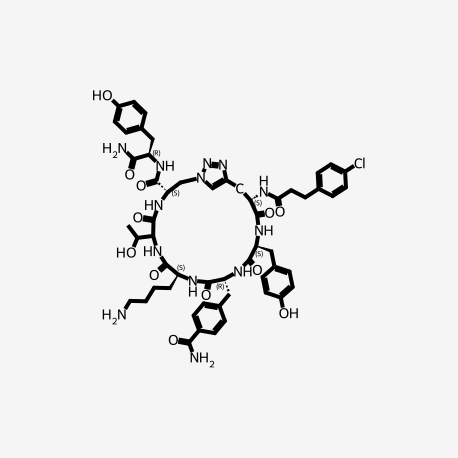 CC(O)C1NC(=O)[C@H](CCCCN)NC(=O)[C@@H](Cc2ccc(C(N)=O)cc2)NC(=O)[C@H](Cc2ccc(O)cc2)NC(=O)[C@@H](NC(=O)CCc2ccc(Cl)cc2)Cc2cn(nn2)C[C@@H](C(=O)N[C@H](Cc2ccc(O)cc2)C(N)=O)NC1=O